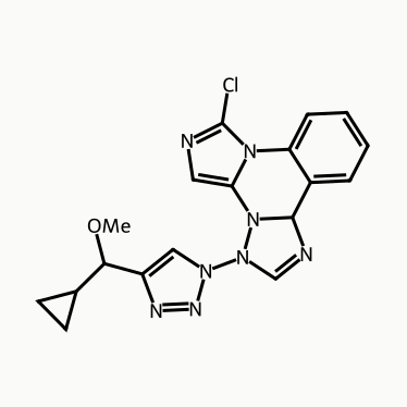 COC(c1cn(N2C=NC3c4ccccc4-n4c(cnc4Cl)N32)nn1)C1CC1